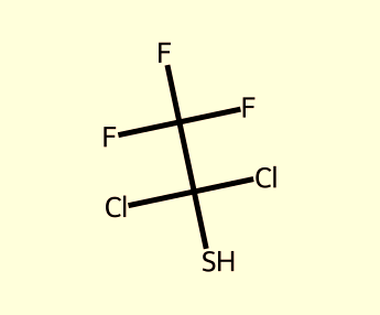 FC(F)(F)C(S)(Cl)Cl